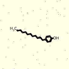 CCCCCCCCCC=CCc1ccc(O)cc1